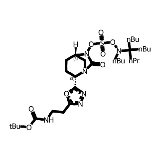 CCCCN(OS(=O)(=O)ON1C(=O)N2C[C@@H]1CC[C@H]2c1nnc(CCNC(=O)OC(C)(C)C)o1)C(CCC)(CCCC)CCCC